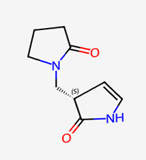 O=C1NC=C[C@H]1CN1CCCC1=O